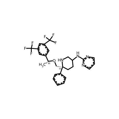 C[C@@H](OC[C@@]1(c2ccccc2)CCC(Nc2ncccn2)CN1)c1cc(C(F)(F)F)cc(C(F)(F)F)c1